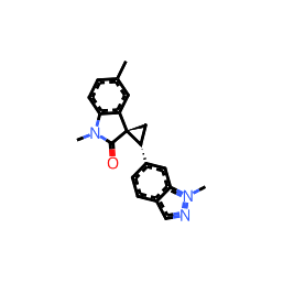 Cc1ccc2c(c1)[C@@]1(C[C@@H]1c1ccc3cnn(C)c3c1)C(=O)N2C